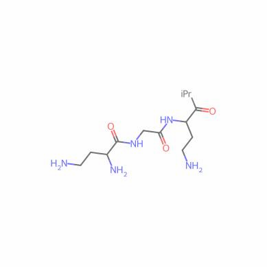 CC(C)C(=O)C(CCN)NC(=O)CNC(=O)C(N)CCN